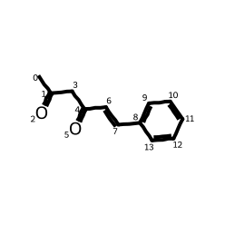 CC(=O)CC(=O)/C=C/c1ccccc1